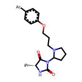 CC(=O)c1ccc(OCCCN2CCCC2N2C(=O)N[C@H](C(C)C)C2=O)cc1